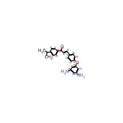 CC(C)c1ccc(C(=O)/C=C/c2ccc(Oc3cc(N)cc(N)c3)cc2)cc1